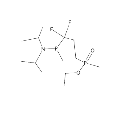 CCOP(C)(=O)CCC(F)(F)P(C)N(C(C)C)C(C)C